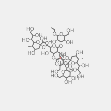 CCOC1OC(CO)[C@H](O)[C@H](OC2OC(CO[C@]3(C(=O)O)C[C@@H](O)[C@@H](C)C([C@H](O)[C@H](O)CO)O3)[C@@H](O)[C@H](O[C@@H]3OC(CO)[C@H](OC4OC(CO)[C@H](O)[C@H](O)[C@@H]4C)[C@H](O[C@@]4(C(=O)O)CC(O)[C@H](C)C([C@H](O)[C@H](O)CO)O4)C3O)[C@@H]2NC(C)=O)[C@@H]1O